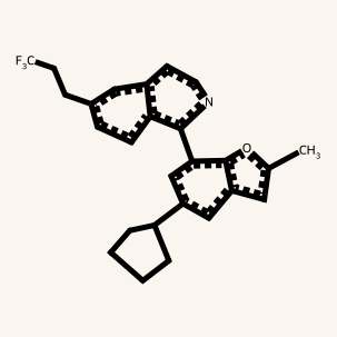 Cc1cc2cc(C3CCCC3)cc(-c3nccc4cc(CCC(F)(F)F)ccc34)c2o1